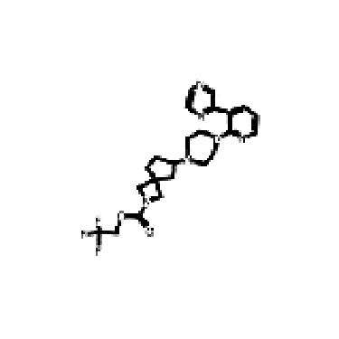 O=C(OCC(F)(F)F)N1CC2(CCC(N3CCN(c4ncccc4-c4cnccn4)CC3)C2)C1